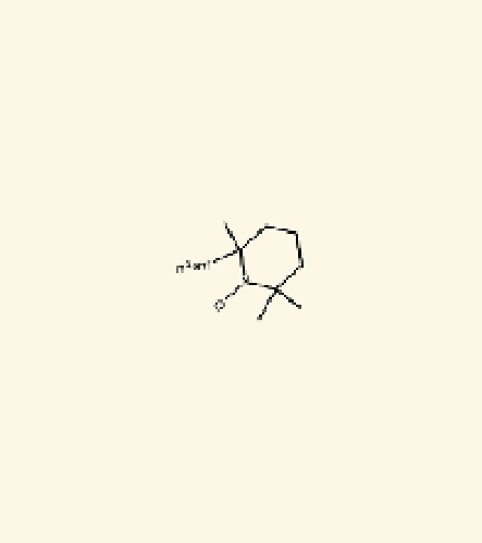 CCCCCC1(C)CCCC(C)(C)N1[O]